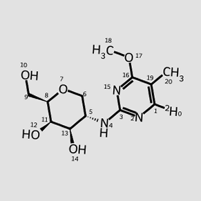 [2H]c1nc(N[C@H]2CO[C@H](CO)[C@H](O)[C@@H]2O)nc(OC)c1C